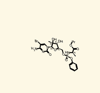 CC(C)OC(=O)[C@@H](C)N[P@](=O)(OC[C@H]1O[C@@H](n2cc(Br)c(N)nc2=O)[C@](C)(O)[C@@H]1O)Oc1ccccc1